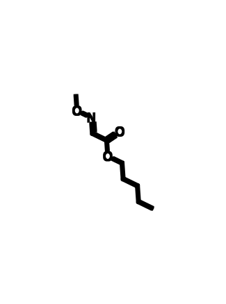 CCCCCOC(=O)C=NOC